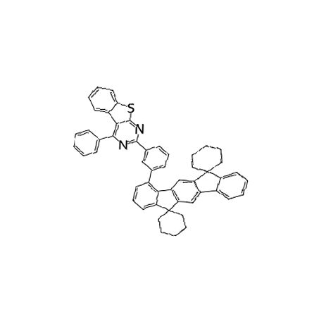 c1ccc(-c2nc(-c3cccc(-c4cccc5c4-c4cc6c(cc4C54CCCCC4)-c4ccccc4C64CCCCC4)c3)nc3sc4ccccc4c23)cc1